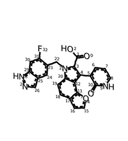 O=C(O)c1c(-c2ccc[nH]c2=O)c2c3occc3ccc2n1Cc1cc2cn[nH]c2cc1F